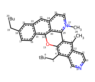 Cc1c2c(c(CC(C)(C)C)c3cnccc13)Oc1c3ccc(CC(C)(C)C)cc3cc3cc[n+](C)c-2c13